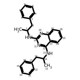 CC(Cc1ccccc1)Nc1nc(NC(C)Cc2ccccc2)c2ccccc2n1